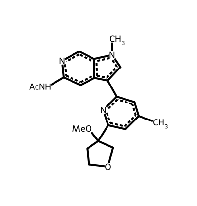 COC1(c2cc(C)cc(-c3cn(C)c4cnc(NC(C)=O)cc34)n2)CCOC1